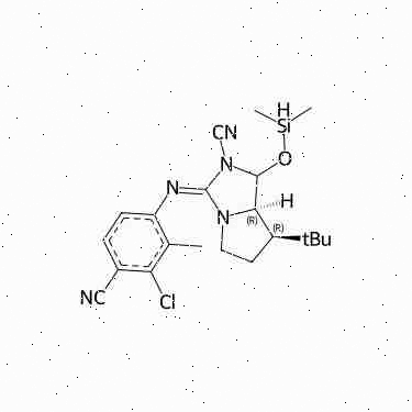 Cc1c(N=C2N(C#N)C(O[SiH](C)C)[C@H]3[C@@H](C(C)(C)C)CCN23)ccc(C#N)c1Cl